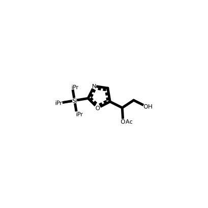 CC(=O)OC(CO)c1cnc([Si](C(C)C)(C(C)C)C(C)C)o1